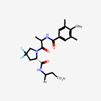 COc1c(C)cc(C(=O)NC(C)C(=O)N2CC(F)(F)C[C@H]2C(=O)NC(CC(=O)O)C(C)=O)cc1C